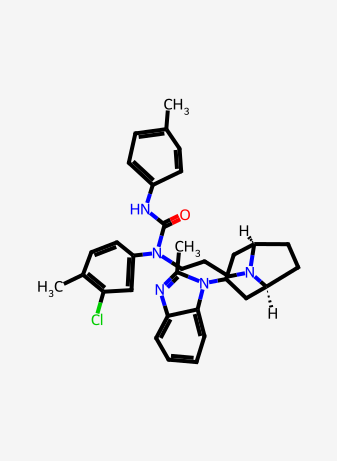 Cc1ccc(NC(=O)N(CCCN2[C@@H]3CC[C@H]2CC(n2c(C)nc4ccccc42)C3)c2ccc(C)c(Cl)c2)cc1